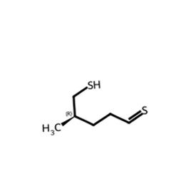 C[C@@H](CS)CCC=S